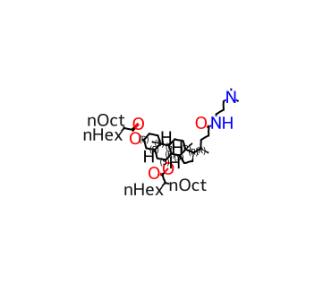 CCCCCCCCC(CCCCCC)C(=O)O[C@@H]1CC[C@@]2(C)[C@@H](C1)C[C@H](OC(=O)C(CCCCCC)CCCCCCCC)[C@@H]1[C@@H]2CC[C@]2(C)[C@@H]([C@H](C)CCC(=O)NCCCN(C)C)CC[C@@H]12